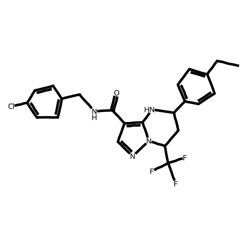 CCc1ccc(C2CC(C(F)(F)F)n3ncc(C(=O)NCc4ccc(Cl)cc4)c3N2)cc1